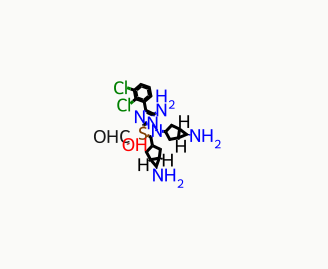 Nc1c(-c2cccc(Cl)c2Cl)nc2n1N(C1C[C@@H]3[C@H](N)[C@@H]3C1)C(C1C[C@@H]3[C@H](N)[C@@H]3C1)S2.O=CO